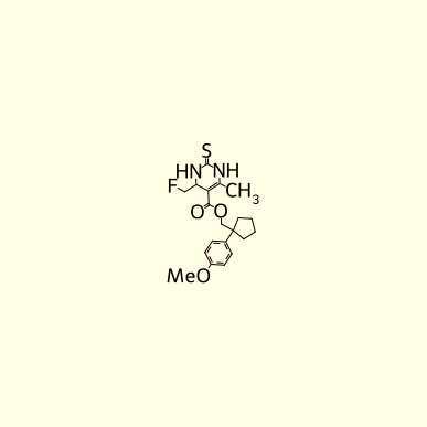 COc1ccc(C2(COC(=O)C3=C(C)NC(=S)NC3CF)CCCC2)cc1